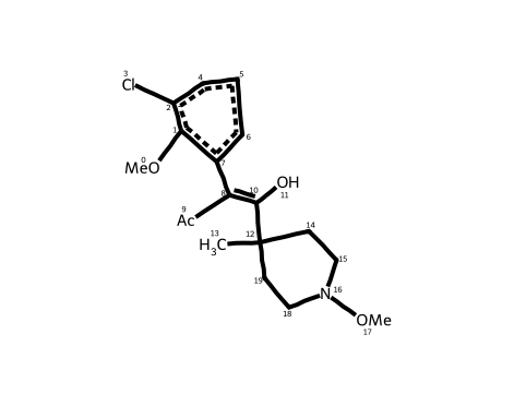 COc1c(Cl)cccc1/C(C(C)=O)=C(\O)C1(C)CCN(OC)CC1